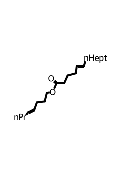 CCCC=CCCCOC(=O)CCCC=CCCCCCCC